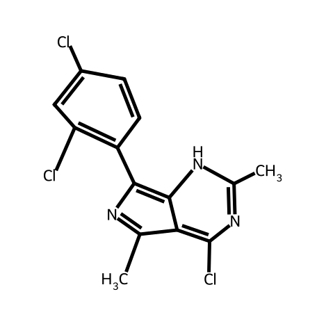 Cc1nc(Cl)c2c(C)nc(-c3ccc(Cl)cc3Cl)c-2[nH]1